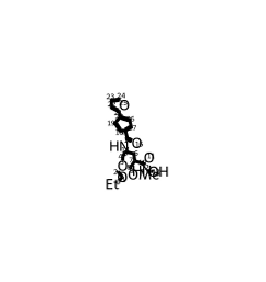 CCOCOCC(CC(COC)C(=O)NO)NC(=O)c1ccc(-c2ccco2)cc1